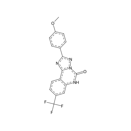 COc1ccc(-c2nc3c4ccc(C(F)(F)F)cc4[nH]c(=O)n3n2)cc1